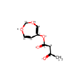 CC(=O)CC(=O)OC1=COCOC=C1